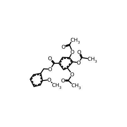 COc1ccccc1COC(=O)c1cc(OC(C)=O)c(OC(C)=O)c(OC(C)=O)c1